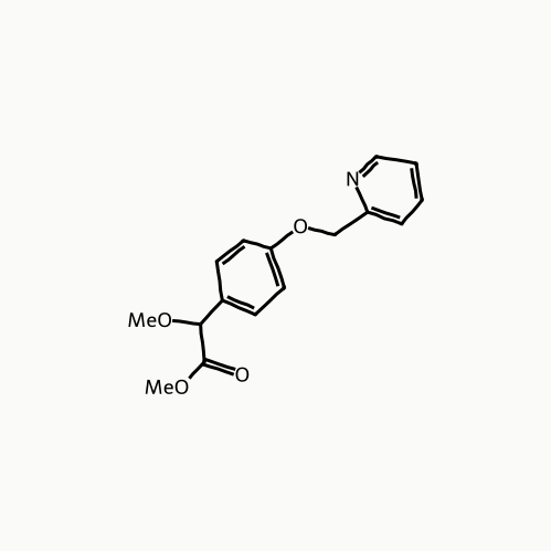 COC(=O)C(OC)c1ccc(OCc2ccccn2)cc1